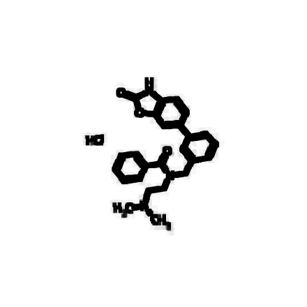 CN(C)CCN(Cc1cccc(-c2ccc3[nH]c(=O)oc3c2)c1)C(=O)c1ccccc1.Cl